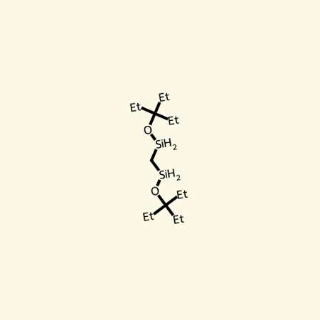 CCC(CC)(CC)O[SiH2]C[SiH2]OC(CC)(CC)CC